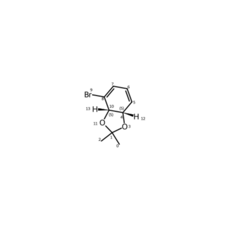 CC1(C)O[C@H]2C=CC=C(Br)[C@H]2O1